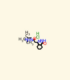 CC(CNC(=O)Cc1n[nH]c(=O)c2c1CCCC2)N(C)C.Cl